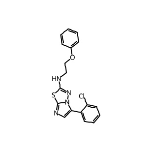 Clc1ccccc1-c1cnc2sc(NCCOc3ccccc3)nn12